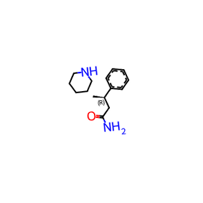 C1CCNCC1.C[C@H](CC(N)=O)c1ccccc1